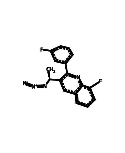 C[C@H](N=[N+]=[N-])c1cc2cccc(F)c2nc1-c1cccc(F)c1